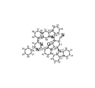 N#Cc1cc(-n2c3ccccc3c3ccccc32)c2c(oc3c(-c4nc(-c5ccccc5)cc(-c5ccccc5)n4)cccc32)c1-n1c2ccccc2c2ccccc21